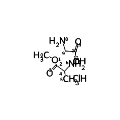 COC(=O)C(C)N.Cl.NCC(=O)O